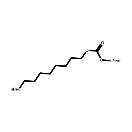 CCCCCCCCCCCCCCCCCCOC(=O)OCCCCC